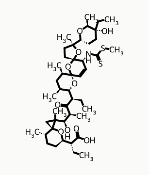 CC[C@@H](C(=O)[C@@H](C)[C@@H](O)C1(C)C[C@]12O[C@@H]([C@@H](CC)C(=O)O)CC[C@@H]2C)[C@H]1O[C@]2(C=C[C@@H](NC(=S)SC)[C@]3(CC[C@@](C)([C@H]4CC[C@](O)(CC)[C@H](C)O4)O3)O2)[C@H](C)C[C@@H]1C